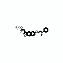 COC(=O)Cc1coc2cc3ccc(OCCNC4CCCCC4)cc3cc12